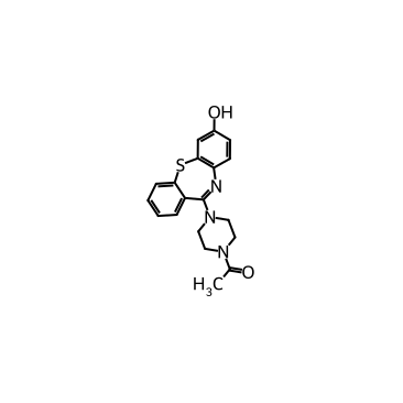 CC(=O)N1CCN(C2=Nc3ccc(O)cc3Sc3ccccc32)CC1